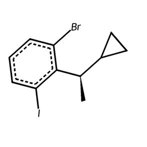 C[C@@H](c1c(Br)cccc1I)C1CC1